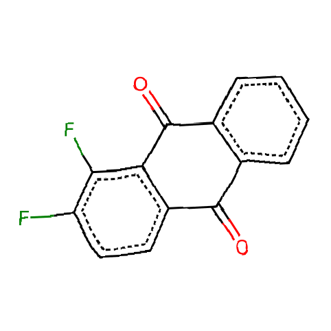 O=C1c2ccccc2C(=O)c2c1ccc(F)c2F